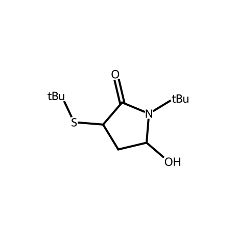 CC(C)(C)SC1CC(O)N(C(C)(C)C)C1=O